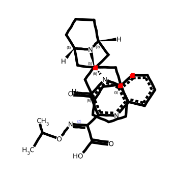 CC(C)O/N=C(\C(=O)O)c1nc2ccccc2n([C@H]2C[C@H]3CCC[C@@H](C2)N3[C@@H]2C[C@@H]3CCCC[C@@H](C3)C2)c1=O